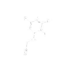 C#CCOc1[c]c(F)cc(F)c1F